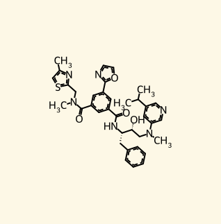 Cc1csc(CN(C)C(=O)c2cc(C(=O)N[C@@H](Cc3ccccc3)[C@H](O)CN(C)c3cncc(C(C)C)c3)cc(-c3ncco3)c2)n1